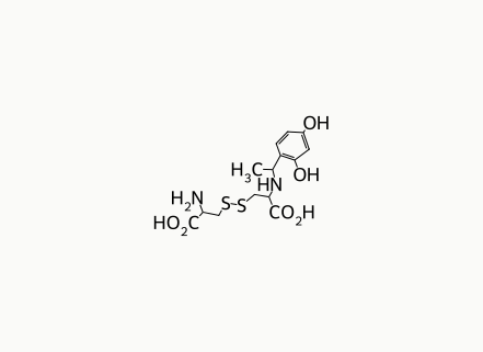 CC(NC(CSSCC(N)C(=O)O)C(=O)O)c1ccc(O)cc1O